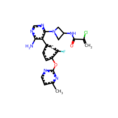 C=C(Cl)C(=O)NC1CN(c2ncnc(N)c2-c2ccc(Oc3nccc(C)n3)c(F)c2)C1